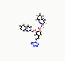 C(=C\c1nnn[nH]1)/c1ccc(OCc2ccc3ccccc3n2)c(OCc2ccc3ccccc3n2)c1